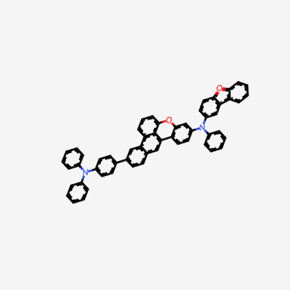 c1ccc(N(c2ccccc2)c2ccc(-c3ccc4cc5c6c(cccc6c4c3)Oc3cc(N(c4ccccc4)c4ccc6oc7ccccc7c6c4)ccc3-5)cc2)cc1